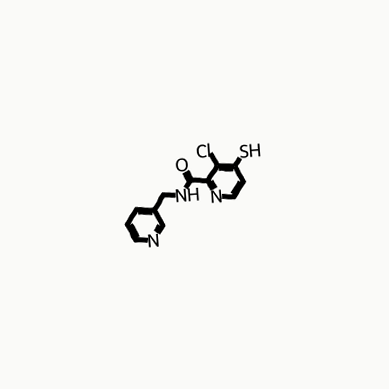 O=C(NCc1cccnc1)c1nccc(S)c1Cl